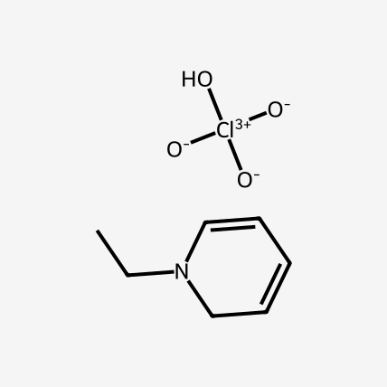 CCN1C=CC=CC1.[O-][Cl+3]([O-])([O-])O